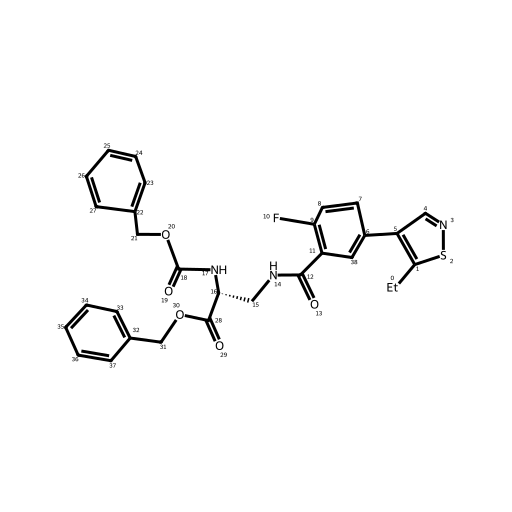 CCc1sncc1-c1ccc(F)c(C(=O)NC[C@@H](NC(=O)OCc2ccccc2)C(=O)OCc2ccccc2)c1